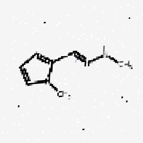 CN/N=C/c1cccn1C